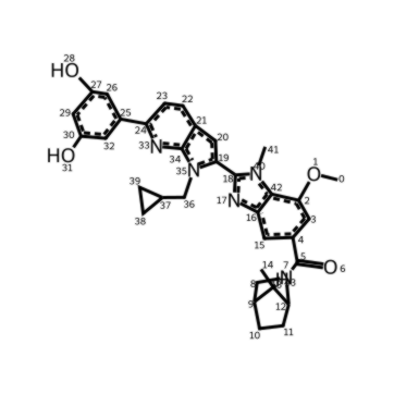 COc1cc(C(=O)N2CC3CCC2[C@@H]3C)cc2nc(-c3cc4ccc(-c5cc(O)cc(O)c5)nc4n3CC3CC3)n(C)c12